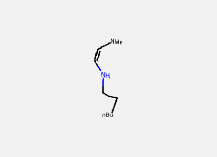 CCCCCCN/C=C\NC